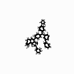 c1ccc(-c2cccc(N(c3ccc(-c4cc5ccccc5c5oc(-c6ccccc6)nc45)cc3)c3ccc4c(c3)oc3ccccc34)c2)cc1